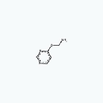 NCOc1ccn[c]n1